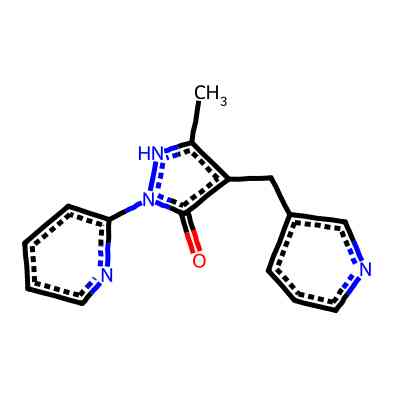 Cc1[nH]n(-c2ccccn2)c(=O)c1Cc1cccnc1